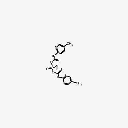 Cc1ccc(NC(=S)OP(N)(=O)OC(=S)Nc2ccc(C)cn2)nc1